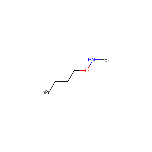 CCCCCCONCC